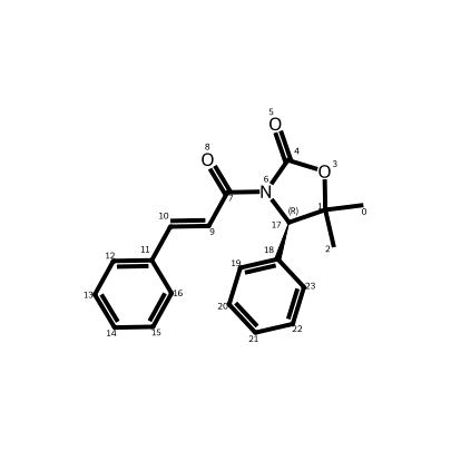 CC1(C)OC(=O)N(C(=O)C=Cc2ccccc2)[C@@H]1c1ccccc1